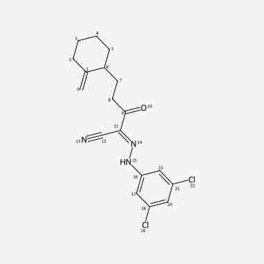 C=C1CCCCC1CCC(=O)/C(C#N)=N/Nc1cc(Cl)cc(Cl)c1